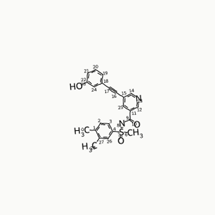 Cc1ccc(S(C)(=O)=NC(=O)c2cncc(C#Cc3cccc(O)c3)c2)cc1C